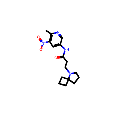 Cc1ncc(NC(=O)CCN2CCCC23CCC3)cc1[N+](=O)[O-]